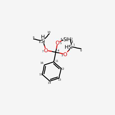 C[SiH](C)OC(O[SiH3])(O[SiH](C)C)c1ccccc1